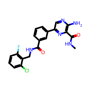 CNC(=O)c1nc(-c2cccc(C(=O)NCc3c(F)cccc3Cl)c2)cnc1N